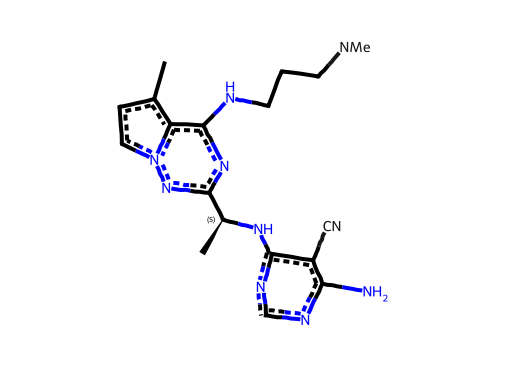 CNCCCNc1nc([C@H](C)Nc2ncnc(N)c2C#N)nn2ccc(C)c12